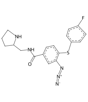 [N-]=[N+]=Nc1cc(C(=O)NCC2CCCN2)ccc1Sc1ccc(F)cc1